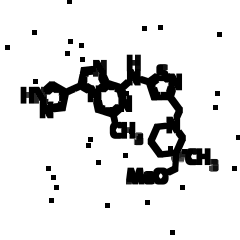 COC[C@@]1(C)CCCN(Cc2cc(Nc3nc(C)cn4c(-c5cn[nH]c5)cnc34)sn2)C1